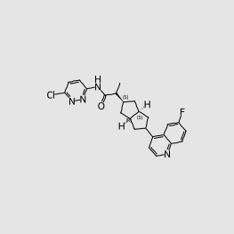 CC(C(=O)Nc1ccc(Cl)nn1)[C@H]1C[C@H]2CC(c3ccnc4ccc(F)cc34)C[C@H]2C1